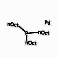 CCCCCCCCP(CCCCCCCC)CCCCCCCC.[Pd]